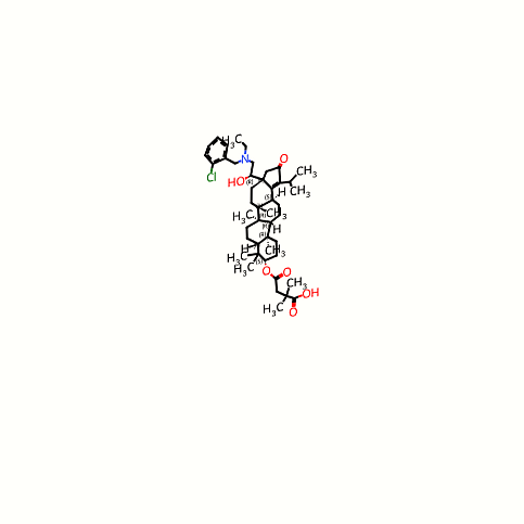 CCN(Cc1ccccc1Cl)C[C@H](O)[C@@]12CC[C@]3(C)[C@H](CC[C@@H]4[C@@]5(C)CC[C@H](OC(=O)CC(C)(C)C(=O)O)C(C)(C)[C@@H]5CC[C@]43C)C1=C(C(C)C)C(=O)C2